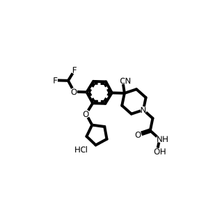 Cl.N#CC1(c2ccc(OC(F)F)c(OC3CCCC3)c2)CCN(CC(=O)NO)CC1